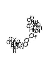 COC(=O)NC(C(=O)N1[C@@H]2CC[C@@H](C2)[C@H]1c1ncc(-c2ccc(-c3ccc4c(ccc5nc([C@@H]6C[C@H]7C[C@H]7N6C(=O)[C@@H](NC(=O)OC)C(C)C)[nH]c54)c3)cc2F)[nH]1)[C@@H](C)OC